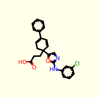 O=C(O)CCC1(c2cnc(Nc3cccc(Cl)c3)o2)C=CC(c2ccccc2)=CC1